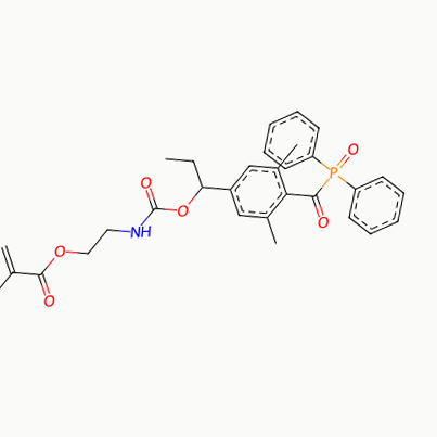 C=C(C)C(=O)OCCNC(=O)OC(CC)c1cc(C)c(C(=O)P(=O)(c2ccccc2)c2ccccc2)c(C)c1